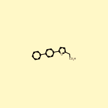 O=C(O)Cc1ccc(-c2ccc(-c3ccccc3)cc2)o1